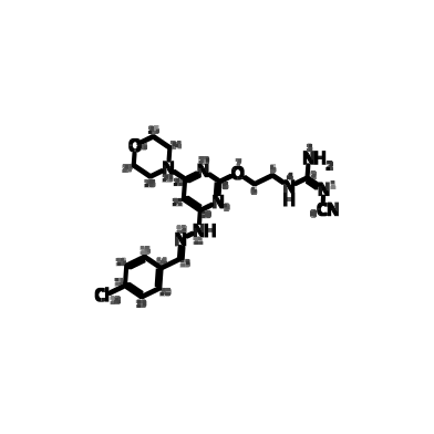 N#C/N=C(/N)NCCOc1nc(N/N=C/c2ccc(Cl)cc2)cc(N2CCOCC2)n1